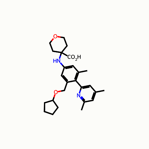 Cc1cc(C)nc(-c2c(C)cc(NC3(C(=O)O)CCOCC3)cc2COC2CCCC2)c1